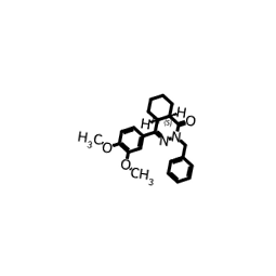 COc1ccc(C2=NN(Cc3ccccc3)C(=O)[C@H]3CCCC[C@@H]23)cc1OC